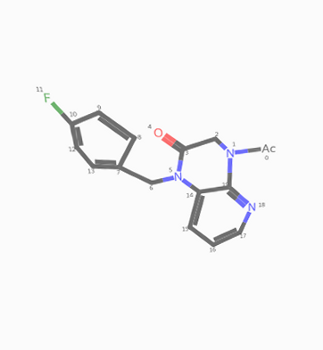 CC(=O)N1CC(=O)N(Cc2ccc(F)cc2)c2cccnc21